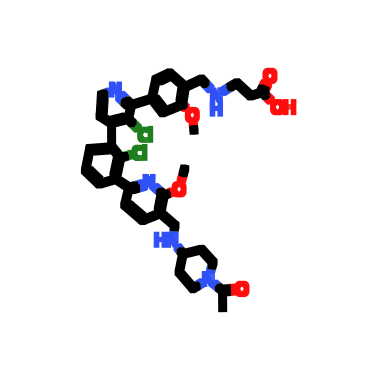 COc1cc(-c2nccc(-c3cccc(-c4ccc(CNC5CCN(C(C)=O)CC5)c(OC)n4)c3Cl)c2Cl)ccc1CNCCC(=O)O